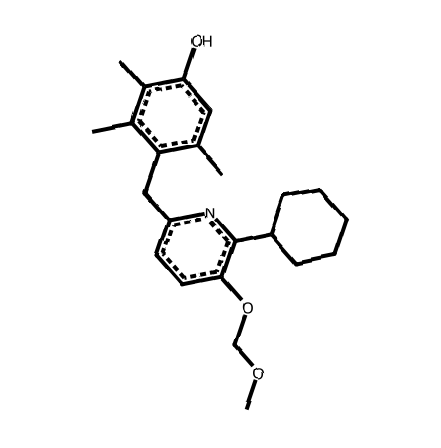 COCOc1ccc(Cc2c(C)cc(O)c(C)c2C)nc1C1CCCCC1